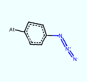 [N-]=[N+]=Nc1ccc([At])cc1